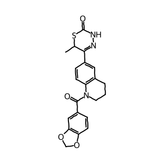 CC1SC(=O)NN=C1c1ccc2c(c1)CCCN2C(=O)c1ccc2c(c1)OCO2